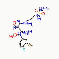 N=C(c1nonc1NCCCNS(N)(=O)=O)N(O)c1ccc(F)c(Br)c1